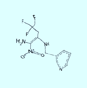 NC(=C(CC(F)(F)F)NCc1cccnc1)[N+](=O)[O-]